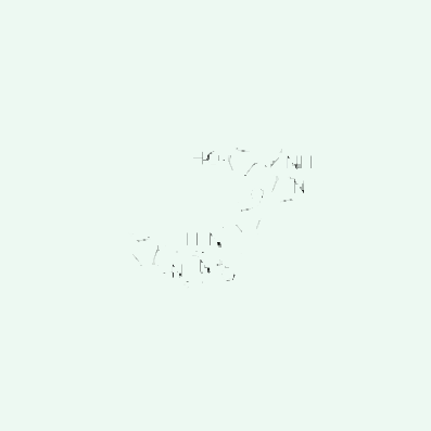 N[C@@H](Cc1ccc(Oc2ccnc3[nH]cc(-c4ccc(O)cc4)c23)cc1)C(=O)N1CCN(Cc2ccccc2)CC1